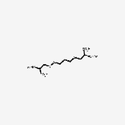 CC(=O)NC(CSSCCCSC[C@H](NC(C)=O)C(=O)O)C(=O)O